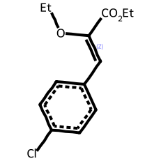 CCOC(=O)/C(=C/c1ccc(Cl)cc1)OCC